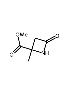 COC(=O)C1(C)CC(=O)N1